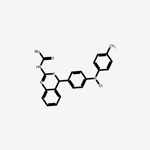 CCN(c1ccc(C)cc1)c1ccc(C2SC(NC(=O)C(C)(C)C)=Nc3ccccc32)cc1